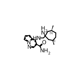 C[C@@H]1CC[C@H](C)CC(N)(CNc2c(C(N)=O)cnn3cccc23)C1